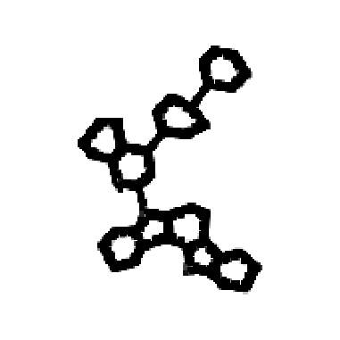 c1ccc(-c2ccc(-c3cc(-n4c5ccccc5c5c6sc7ccccc7c6ccc54)nc4ccccc34)cc2)cc1